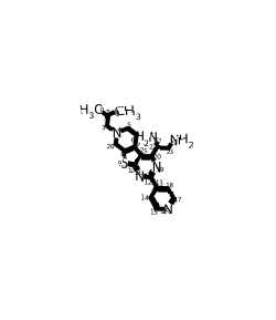 CC(C)CN1CCc2c(sc3nc(-c4ccncc4)nc(C(N)CN)c23)C1